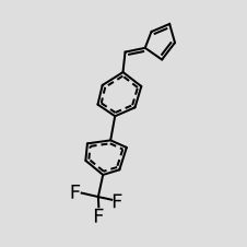 FC(F)(F)c1ccc(-c2ccc(C=C3C=CC=C3)cc2)cc1